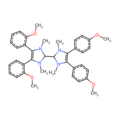 COc1ccc(C2=C(c3ccc(OC)cc3)N(C)C(C3N(C)C(c4ccccc4OC)=C(c4ccccc4OC)N3C)N2C)cc1